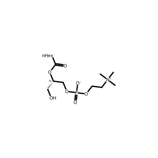 CCCCCCC(=O)O[C@@H](CO)COP(=O)([O-])OCC[N+](C)(C)C